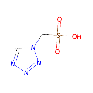 O=S(=O)(O)Cn1[c]nnn1